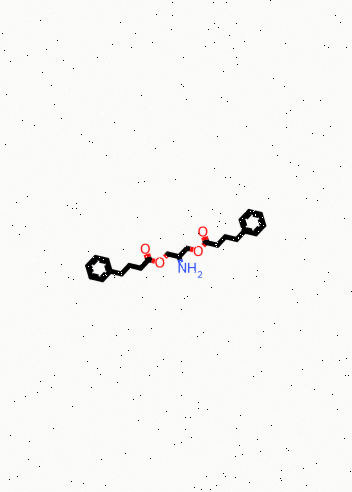 NC(COC(=O)CCCc1ccccc1)COC(=O)CCCc1ccccc1